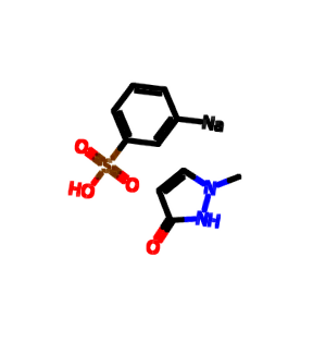 Cn1ccc(=O)[nH]1.O=S(=O)(O)c1ccc[c]([Na])c1